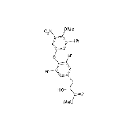 COC(=O)C(O)Cc1cc(Br)c(Oc2cc(C(C)C)c(OC)c([N+](=O)[O-])c2)c(Br)c1